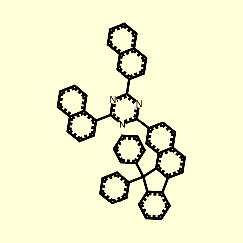 c1ccc(C2(c3ccccc3)c3ccccc3-c3ccc4ccc(-c5nc(-c6ccc7ccccc7c6)nc(-c6cccc7ccccc67)n5)cc4c32)cc1